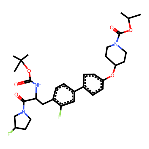 CC(C)OC(=O)N1CCC(Oc2ccc(-c3ccc(CC(NC(=O)OC(C)(C)C)C(=O)N4CCC(F)C4)c(F)c3)cc2)CC1